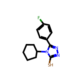 Fc1ccc(-c2nnc(S)n2C2CCCCC2)cc1